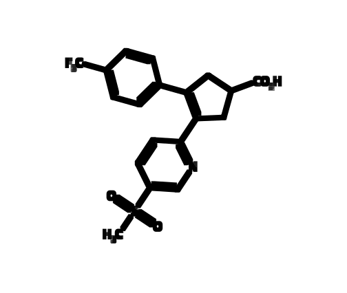 CS(=O)(=O)c1ccc(C2=C(c3ccc(C(F)(F)F)cc3)CC(C(=O)O)C2)nc1